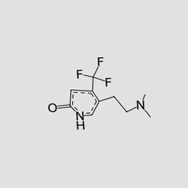 CN(C)CCc1c[nH]c(=O)cc1C(F)(F)F